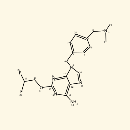 CN(C)Cc1ccc(Cn2cnc3c(N)nc(OCC(F)F)nc32)cc1